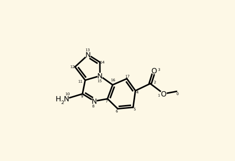 COC(=O)c1ccc2nc(N)c3cncn3c2c1